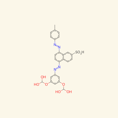 Cc1ccc(N=Nc2ccc(N=Nc3cc(OC(O)O)cc(OC(O)O)c3)c3ccc(S(=O)(=O)O)cc23)cc1